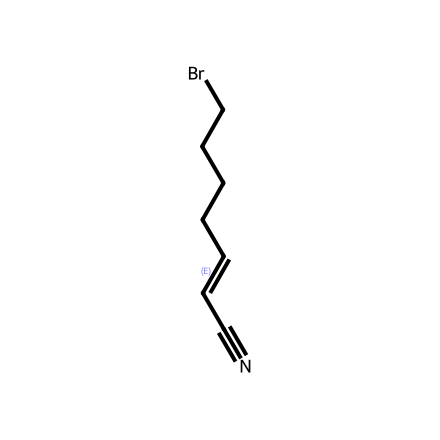 N#C/C=C/CCCCBr